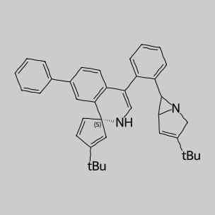 CC(C)(C)C1=C[C@]2(C=C1)NC=C(c1ccccc1C1C3C=C(C(C)(C)C)CN31)c1ccc(-c3ccccc3)cc12